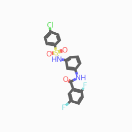 O=C(Nc1cccc(NS(=O)(=O)c2ccc(Cl)cc2)c1)c1cc(F)ccc1F